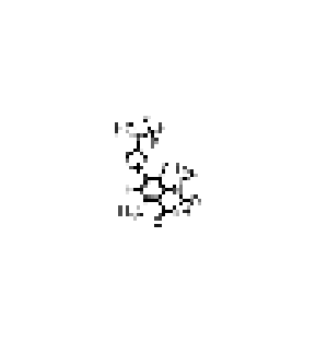 Cc1c(F)c(N2CCC(C(O)C(F)(F)F)C2)c(C)c2c1c(=O)[nH]c(=O)n2C1CC1